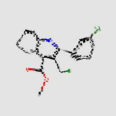 COC(=O)c1c(CBr)c(-c2cccc(Cl)c2)nc2ccccc12